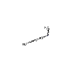 CCCCC/C=C\CCCOCCCOCCCCCCCO